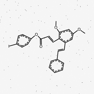 COc1cc(/C=C/c2ccccc2)c(/C=C/C(=O)Oc2ccc(I)cc2)c(OC)c1